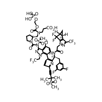 CC(C)(C#Cc1ccc(-c2ccc(Cl)c3c(N(C(=O)N4CCC[C@H]4CN(CCC(=O)O)C(=O)OCOP(=O)(O)O)S(C)(=O)=O)nn(CC(F)(F)F)c23)c([C@H](Cc2cc(F)cc(F)c2)NC(=O)Cn2nc(C(F)(F)F)c3c2C(F)(F)[C@@H]2C[C@H]32)n1)S(C)(=O)=O